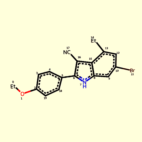 CCOc1ccc(-c2[nH]c3cc(Br)cc(CC)c3c2C#N)cc1